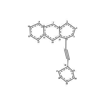 C(#Cc1cccc2cc3ccccc3cc12)c1ccccc1